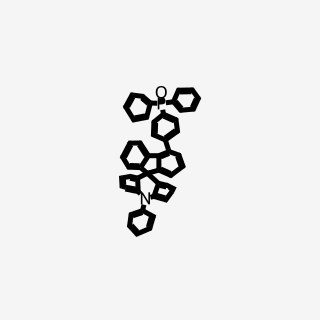 O=P(c1ccccc1)(c1ccccc1)c1ccc(-c2cccc3c2-c2ccccc2C32c3ccccc3N(c3ccccc3)c3ccccc32)cc1